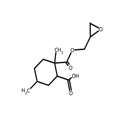 CC1CCC(C)(C(=O)OCC2CO2)C(C(=O)O)C1